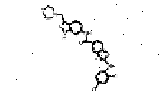 O=C(Nc1ccc2c(CN3CCOCC3)n[nH]c2c1)c1ccc2nc(Nc3ccc(Cl)cc3Cl)[nH]c2c1